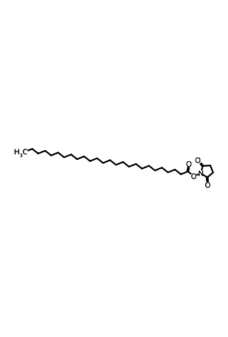 CCCCCCCCCCCCCCCCCCCCCCCCCC(=O)ON1C(=O)CCC1=O